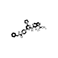 CC(C)n1ncc2cnc(Nc3nc(N4CCCC4)cc(N4CCN(C(=O)NCc5ccccc5)CC4)n3)cc21